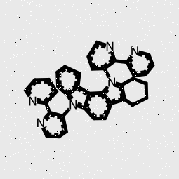 c1ccc(-c2ncccc2-n2c3c(c4ccc5c(c6ccccc6n5-c5cccnc5-c5ccccn5)c42)CCCC3)nc1